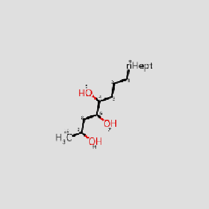 CCCCCCCCCCC(O)C(O)CC(C)O